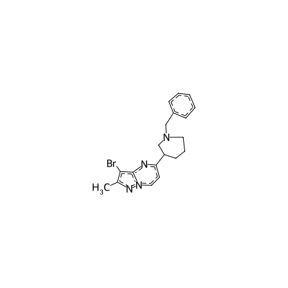 Cc1nn2ccc(C3CCCN(Cc4ccccc4)C3)nc2c1Br